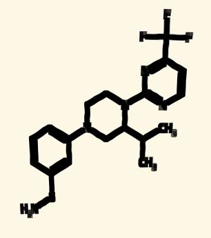 CC(C)C1CN(c2cccc(SN)c2)CCN1c1nccc(C(F)(F)F)n1